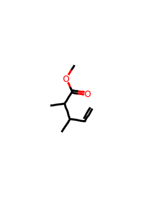 C=CC(C)C(C)C(=O)OC